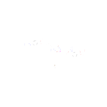 Nc1ccc(C(=O)OCCSSCC(NC(=O)CCCC[C@@H]2CCSS2)C(=O)NCCCC(=O)Nc2cccc(B(O)O)c2)cc1